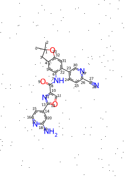 CC1(C)Cc2cc(NC(=O)c3coc(-c4ccnc(N)c4)n3)c(-c3ccc(C#N)nc3)cc2O1